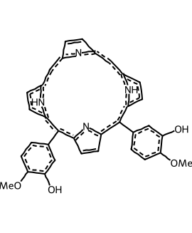 COc1ccc(-c2c3nc(c(-c4ccc(OC)c(O)c4)c4ccc(cc5nc(cc6ccc2[nH]6)C=C5)[nH]4)C=C3)cc1O